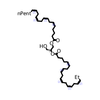 CC/C=C\C/C=C\C/C=C\C/C=C\C/C=C\CCCC(=O)O[C@@H](CO)COC(=O)CCC/C=C\C/C=C\C/C=C\C/C=C\CCCCC